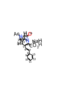 CC(=O)N1C[C@H]2CC(/C=C/c3ccccc3)=C(C(=O)O)N3C(=O)[C@@H]1[C@@H]23.[NaH]